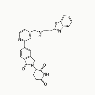 O=C1CCC(N2Cc3cc(-c4cc(CNCCc5nc6ccccc6s5)ccn4)ccc3C2=O)C(=O)N1